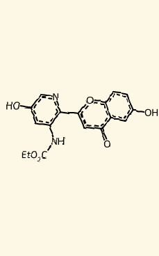 CCOC(=O)Nc1cc(O)cnc1-c1cc(=O)c2cc(O)ccc2o1